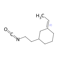 C/C=C1/CCCC(CCN=C=O)C1